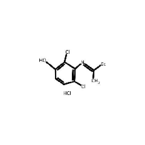 CCC(C)=Nc1c(Cl)ccc(O)c1Cl.Cl